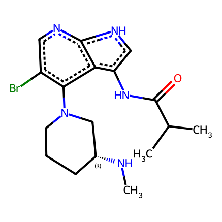 CN[C@@H]1CCCN(c2c(Br)cnc3[nH]cc(NC(=O)C(C)C)c23)C1